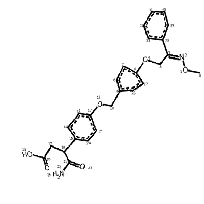 CO/N=C(\COc1ccc(COc2ccc(C(CC(=O)O)C(N)=O)cc2)cc1)c1ccccc1